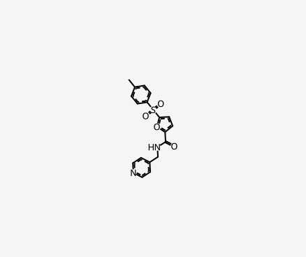 Cc1ccc(S(=O)(=O)c2ccc(C(=O)NCc3ccncc3)o2)cc1